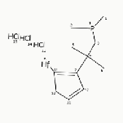 CP(C)CC(C)(C)C1=[C]([Hf])CC=C1.Cl.Cl.Cl